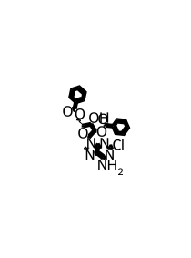 Nc1nc(Cl)nc2c1ncn2[C@@H]1O[C@H](COC(=O)c2ccccc2)C(O)C1OC(=O)c1ccccc1